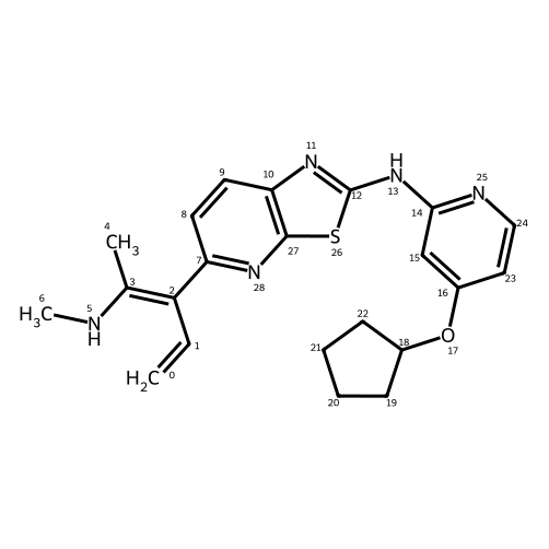 C=C/C(=C(/C)NC)c1ccc2nc(Nc3cc(OC4CCCC4)ccn3)sc2n1